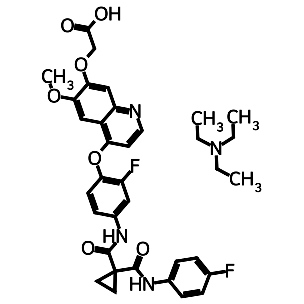 CCN(CC)CC.COc1cc2c(Oc3ccc(NC(=O)C4(C(=O)Nc5ccc(F)cc5)CC4)cc3F)ccnc2cc1OCC(=O)O